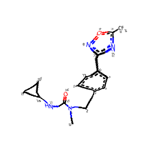 CN(Cc1ccc(-c2noc(C(F)(F)F)n2)cc1)C(=O)NC1CC1